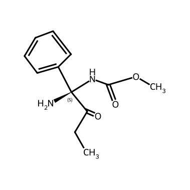 CCC(=O)[C@@](N)(NC(=O)OC)c1ccccc1